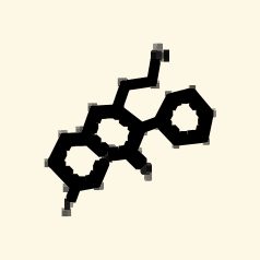 O=c1c(-c2ccccc2)c(CCO)cc2ccc(F)cn12